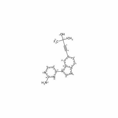 CC(O)(C#Cc1ccc2ncn(-c3ccnc(N)n3)c2c1)C(F)(F)F